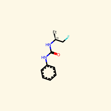 CC[C@@H](CF)NC(=O)Nc1ccccc1